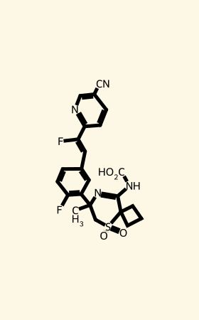 CC1(c2cc(/C=C(\F)c3ccc(C#N)cn3)ccc2F)CS(=O)(=O)C2(CCC2)C(NC(=O)O)=N1